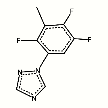 Cc1c(F)c(F)cc(-n2cncn2)c1F